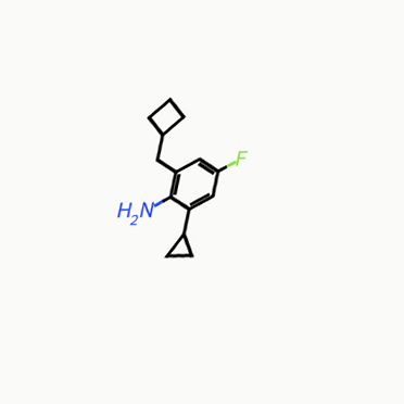 Nc1c(CC2CCC2)cc(F)cc1C1CC1